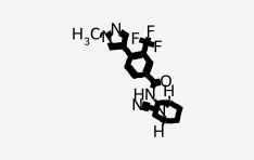 Cn1cc(-c2ccc(C(=O)N[C@@H]3C[C@@H]4CC[C@H]3N4C#N)cc2C(F)(F)F)cn1